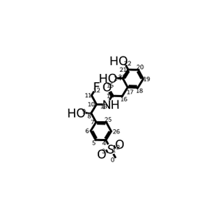 CS(=O)(=O)c1ccc([C@@H](O)C(CF)NC(=O)Cc2cccc(O)c2O)cc1